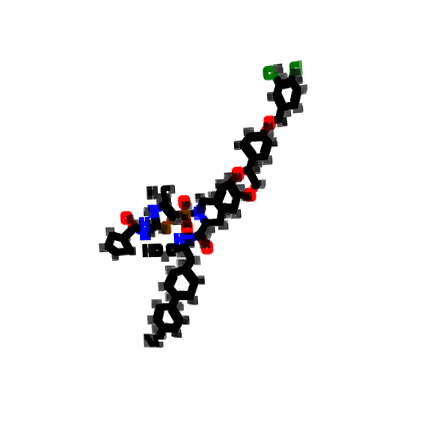 Cc1nc(NC(=O)C2CCCC2)sc1S(=O)(=O)N1Cc2cc3c(cc2C[C@H]1C(=O)NC(Cc1ccc(-c2ccc(C#N)cc2)cc1)C(=O)O)OC[C@H](c1ccc(OCc2ccc(Cl)c(Cl)c2)cc1)O3